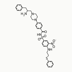 NC(Cc1ccccc1)CN1CCN(c2ccc(C(=O)NS(=O)(=O)c3ccc(NCCSc4ccccc4)c([N+](=O)[O-])c3)cc2)CC1